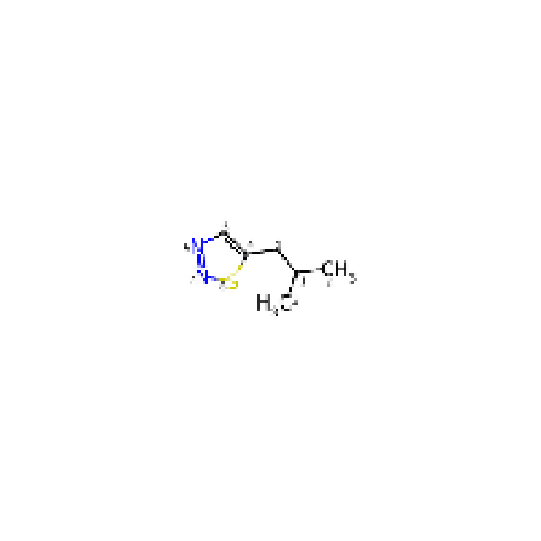 CC(C)Cc1cnns1